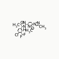 COc1nc(C2=NOC(C)C(c3ccc(Cl)c(C(F)F)c3)N2)ccc1-n1cnc(C)c1